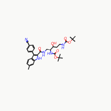 Cc1ccc2c(-c3ccc(C#N)cc3)c(C(=O)NC[C@H](NC(=O)OC(C)(C)C)C(O)CCNC(=O)OC(C)(C)C)[nH]c2c1